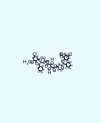 COc1cc(Cl)ccc1OC(c1ccccc1)[C@H]1CN(OC(=O)C(O)C(O)C(=O)ON2CCO[C@@H](C(Oc3ccc(Cl)cc3OC)c3ccccc3)C2)CCO1